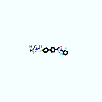 CN(C)C(=O)Sc1ccc(-c2ccc(C3COC(c4c(F)cccc4F)=N3)cc2)cc1